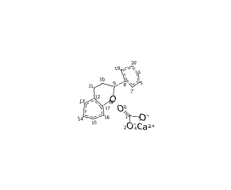 O=C([O-])[O-].[Ca+2].c1ccc(C2CCc3ccccc3O2)cc1